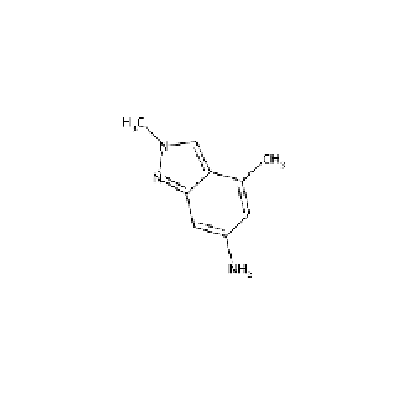 Cc1cc(N)cc2nn(C)cc12